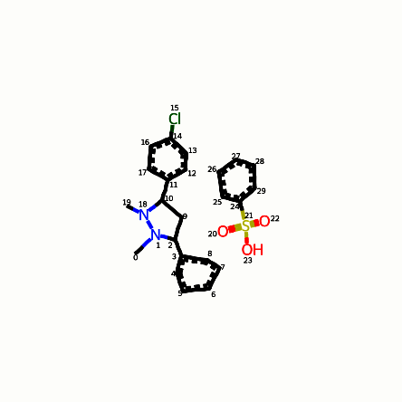 CN1C(c2ccccc2)CC(c2ccc(Cl)cc2)N1C.O=S(=O)(O)c1ccccc1